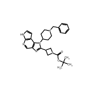 CC(C)(C)OC(=O)N1CC(c2nc3cnc4[nH]ccc4c3n2C2CCN(Cc3ccccc3)CC2)C1